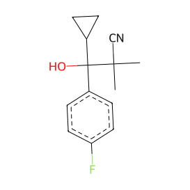 CC(C)(C#N)C(O)(c1ccc(F)cc1)C1CC1